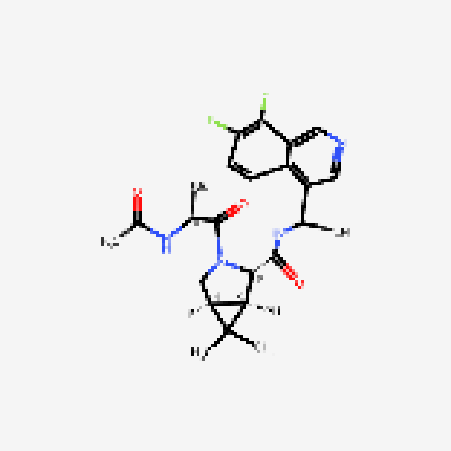 CC(C)(C)[C@H](NC(=O)C(F)(F)F)C(=O)N1C[C@H]2[C@@H]([C@H]1C(=O)NC(C#N)c1cncc3c(F)c(F)ccc13)C2(C)C